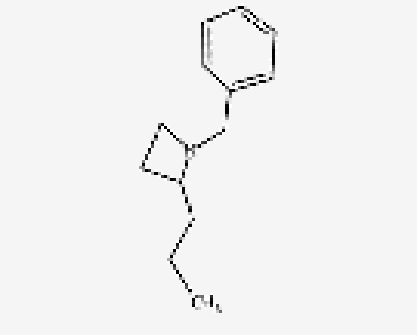 CCCC1CCN1Cc1ccccc1